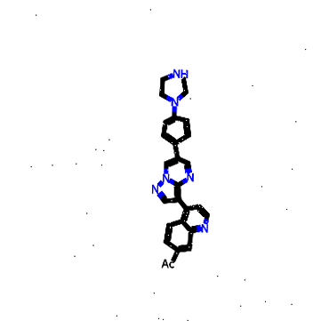 CC(=O)c1ccc2c(-c3cnn4cc(-c5ccc(N6CCNCC6)cc5)cnc34)ccnc2c1